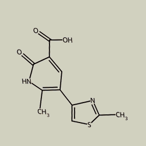 Cc1nc(-c2cc(C(=O)O)c(=O)[nH]c2C)cs1